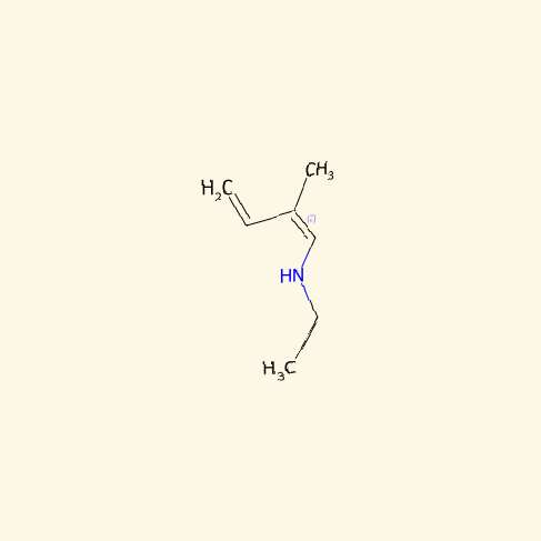 C=C/C(C)=C\NCC